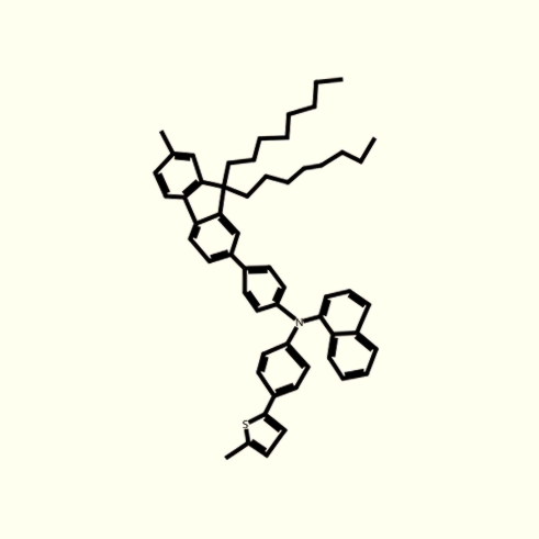 CCCCCCCCC1(CCCCCCCC)c2cc(C)ccc2-c2ccc(-c3ccc(N(c4ccc(-c5ccc(C)s5)cc4)c4cccc5ccccc45)cc3)cc21